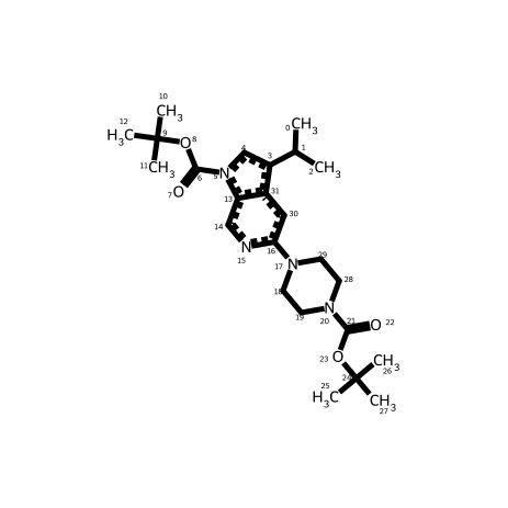 CC(C)c1cn(C(=O)OC(C)(C)C)c2cnc(N3CCN(C(=O)OC(C)(C)C)CC3)cc12